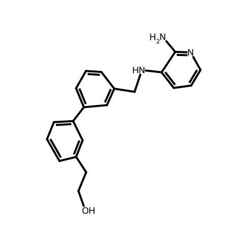 Nc1ncccc1NCc1cccc(-c2cccc(CCO)c2)c1